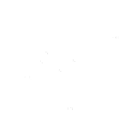 C=Cc1nn(Cc2nc3cc(CN)ccc3n2CCCCO)c2ccccc12